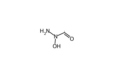 NN(O)[C]=O